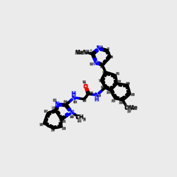 CNc1nccc(-c2cc(NC(=O)CNc3nc4ccccc4n3C)c3cc(OC)ccc3c2)n1